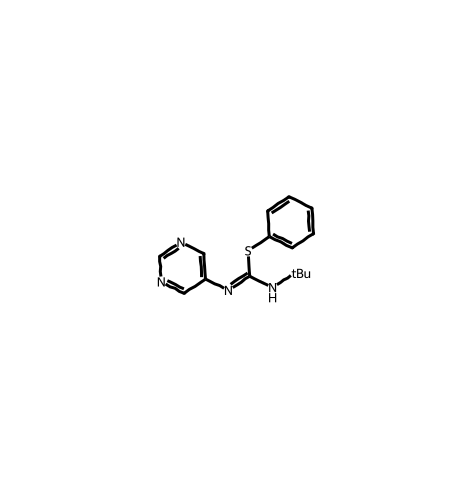 CC(C)(C)N/C(=N/c1cncnc1)Sc1ccccc1